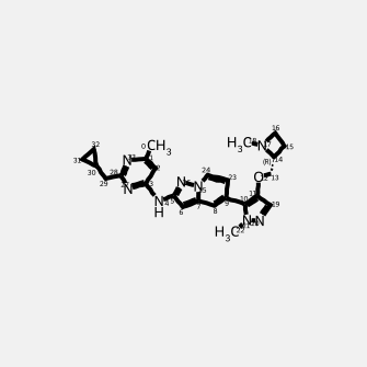 Cc1cc(Nc2cc3cc(-c4c(OC[C@H]5CCN5C)cnn4C)ccn3n2)nc(CC2CC2)n1